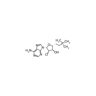 C=P(C)(C)CC[C@H]1O[C@@H](n2cnc3c(N)ncnc32)[C@H](Cl)[C@@H]1O